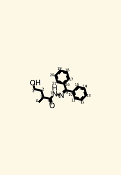 CC(CCO)C(=O)NN=C(c1ccccc1)c1ccccc1